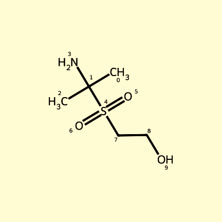 CC(C)(N)S(=O)(=O)CCO